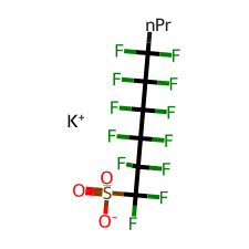 CCCC(F)(F)C(F)(F)C(F)(F)C(F)(F)C(F)(F)C(F)(F)S(=O)(=O)[O-].[K+]